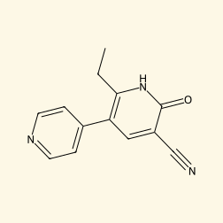 CCc1[nH]c(=O)c(C#N)cc1-c1ccncc1